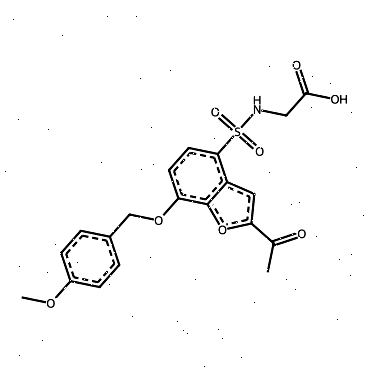 COc1ccc(COc2ccc(S(=O)(=O)NCC(=O)O)c3cc(C(C)=O)oc23)cc1